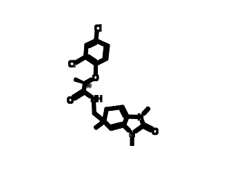 C[C@@H](Oc1ccc(Cl)cc1Cl)C(=O)NCC1(C)C=c2c(n(C)c(=O)n2C)=CC1